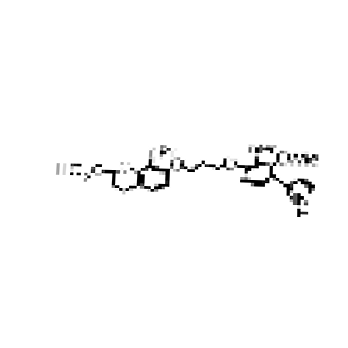 CCCc1c(OCCCOc2ccc(-c3cc[nH]n3)c(OC)c2CCC)ccc2c1OC(C(=O)O)CC2